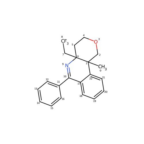 CC12COCCC1(CC(F)(F)F)N=C(c1ccccc1)c1ccccc12